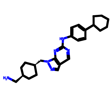 NC[C@H]1CC[C@H](Cn2ncc3cnc(Nc4ccc(C5CCCCC5)cc4)nc32)CC1